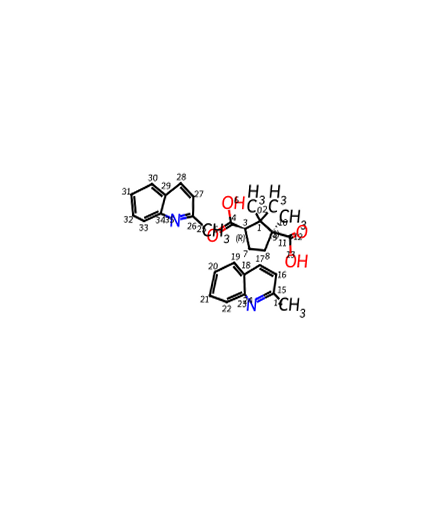 CC1(C)[C@H](C(=O)O)CC[C@]1(C)C(=O)O.Cc1ccc2ccccc2n1.Cc1ccc2ccccc2n1